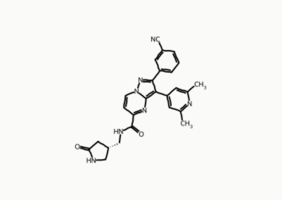 Cc1cc(-c2c(-c3cccc(C#N)c3)nn3ccc(C(=O)NC[C@@H]4CNC(=O)C4)nc23)cc(C)n1